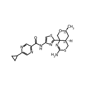 C[C@H]1C[C@H]2CSC(N)=NC2(c2nc(NC(=O)c3cnc(C4CC4)cn3)cs2)CO1